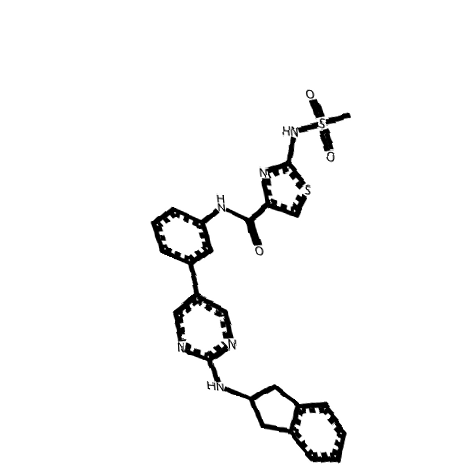 CS(=O)(=O)Nc1nc(C(=O)Nc2cccc(-c3cnc(NC4Cc5ccccc5C4)nc3)c2)cs1